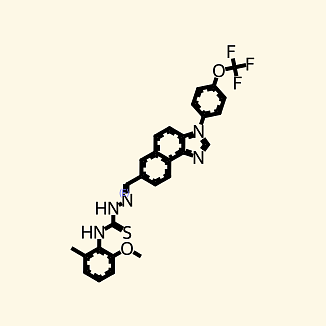 COc1cccc(C)c1NC(=S)N/N=C/c1ccc2c(ccc3c2ncn3-c2ccc(OC(F)(F)F)cc2)c1